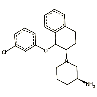 N[C@H]1CCCN(C2CCc3ccccc3C2Oc2cccc(Cl)c2)C1